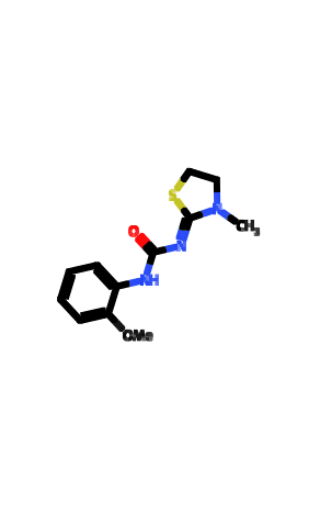 COc1ccccc1NC(=O)N=C1SCCN1C